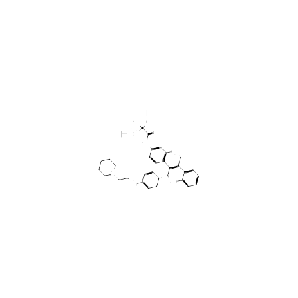 CC(C)(C)C(=O)Oc1ccc2c(c1)OCC1=C2[C@H](C2C=CC(OCCN3CCCCC3)=CC2)Oc2ccccc21